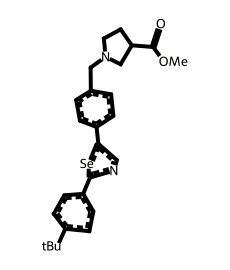 COC(=O)C1CCN(Cc2ccc(-c3cnc(-c4ccc(C(C)(C)C)cc4)[se]3)cc2)C1